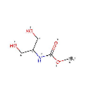 CC(C)(C)OC(=O)NC(CO)CO